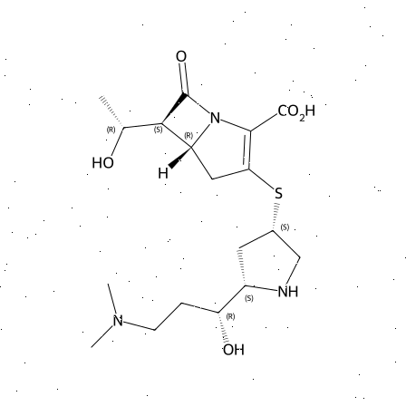 C[C@@H](O)[C@H]1C(=O)N2C(C(=O)O)=C(S[C@@H]3CN[C@H]([C@H](O)CCN(C)C)C3)C[C@H]12